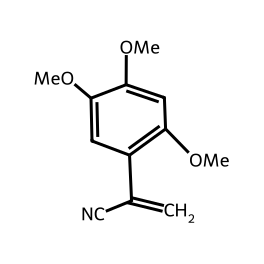 C=C(C#N)c1cc(OC)c(OC)cc1OC